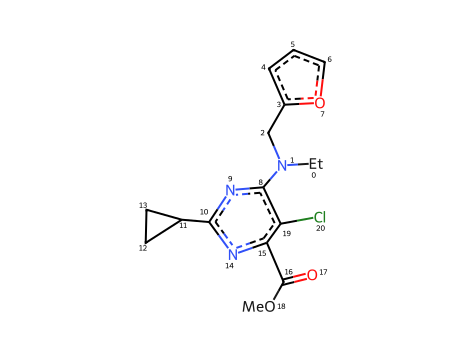 CCN(Cc1ccco1)c1nc(C2CC2)nc(C(=O)OC)c1Cl